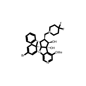 COc1cncc2c1[C@]1(O)[C@H](O)[C@H](CN3CCC(F)(F)CC3)[C@@H](c3ccccc3)[C@]1(C1(C)C=CC(Br)=CC1)O2